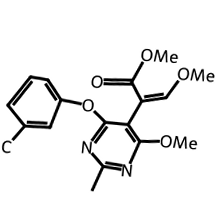 COC=C(C(=O)OC)c1c(OC)nc(C)nc1Oc1cccc(C(F)(F)F)c1